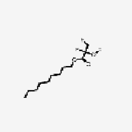 CCCCCCCCCOC(=O)C(F)(CF)OF